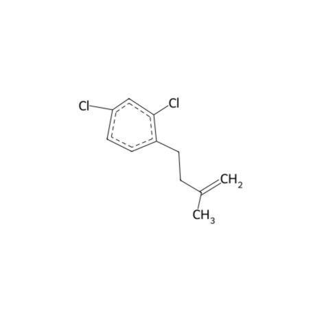 C=C(C)CCc1ccc(Cl)cc1Cl